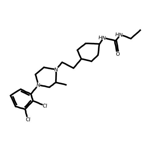 CCNC(=O)NC1CCC(CCN2CCN(c3cccc(Cl)c3Cl)CC2C)CC1